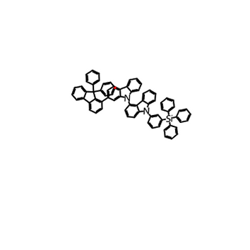 c1ccc(C2(c3ccccc3)c3ccccc3-c3cccc(-c4ccc5c6ccccc6n(-c6cccc7c6c6ccccc6n7-c6cccc([Si](c7ccccc7)(c7ccccc7)c7ccccc7)c6)c5c4)c32)cc1